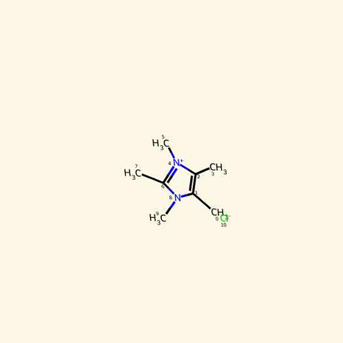 Cc1c(C)[n+](C)c(C)n1C.[Cl-]